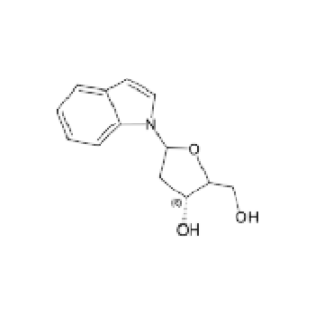 OCC1OC(n2ccc3ccccc32)C[C@H]1O